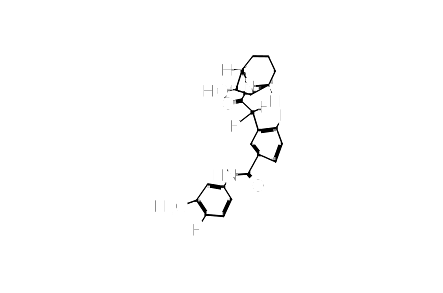 Cc1cc(NC(=O)c2ccc(F)c(C(F)(F)C(=O)N3[C@@H]4CCC[C@H]3[C@H](O)C4)c2)ccc1F